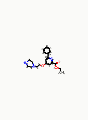 CCOC(=O)c1cc(OCCN2CCNCC2)cc(-c2ccccc2)n1